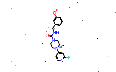 COc1cccc([C@@H](C)NC(=O)N2CCN(c3ccnc(F)c3)[C@H](C)C2)c1